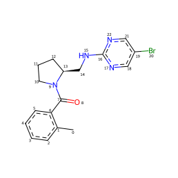 Cc1ccccc1C(=O)N1CCC[C@H]1CNc1ncc(Br)cn1